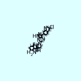 NC[C@]1(c2ccccc2F)[C@@H]2CCN(c3cnc4c(-c5ccc6cc(Cl)cnc6c5)n[nH]c4n3)C[C@@H]21